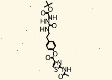 CC(=O)Nc1nc(C(=O)Oc2ccc(CCNC(=O)NNC(=O)OC(C)(C)C)cc2)cs1